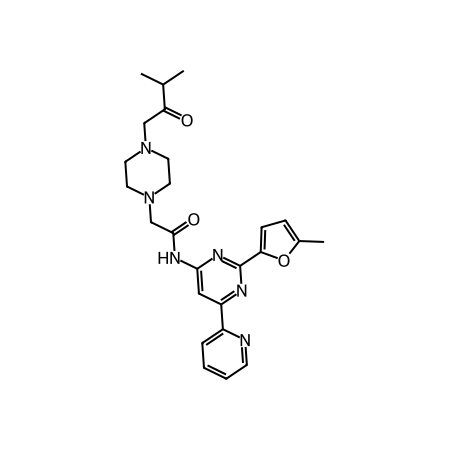 Cc1ccc(-c2nc(NC(=O)CN3CCN(CC(=O)C(C)C)CC3)cc(-c3ccccn3)n2)o1